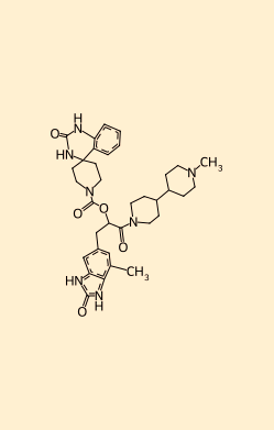 Cc1cc(CC(OC(=O)N2CCC3(CC2)NC(=O)Nc2ccccc23)C(=O)N2CCC(C3CCN(C)CC3)CC2)cc2[nH]c(=O)[nH]c12